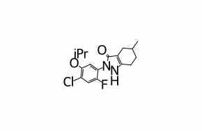 CC1CCc2[nH]n(-c3cc(OC(C)C)c(Cl)cc3F)c(=O)c2C1